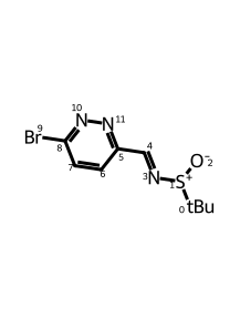 CC(C)(C)[S+]([O-])N=Cc1ccc(Br)nn1